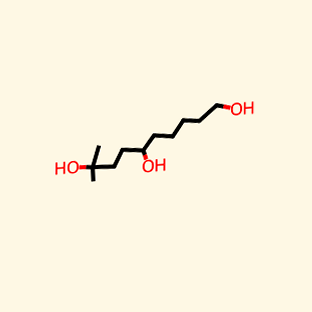 CC(C)(O)CCC(O)CCCCCO